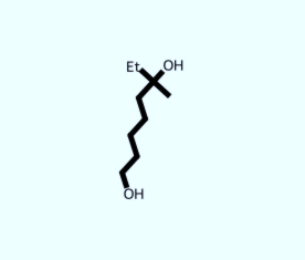 CCC(C)(O)CCCCCO